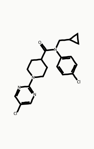 O=C(C1CCN(c2ncc(Cl)cn2)CC1)N(CC1CC1)c1ccc(Cl)cc1